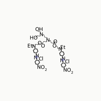 CCN(CCOC(=O)CCN(CCCN(CCO)CCO)CCC(=O)OCCN(CC)c1ccc(/N=N/c2ccc([N+](=O)[O-])cc2Cl)cc1)c1ccc(/N=N/c2ccc([N+](=O)[O-])cc2Cl)cc1